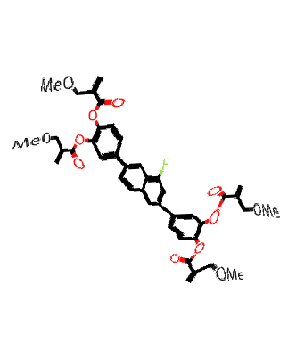 C=C(COC)C(=O)Oc1ccc(-c2cc(F)c3cc(-c4ccc(OC(=O)C(=C)COC)c(OC(=O)C(=C)COC)c4)ccc3c2)cc1OC(=O)C(=C)COC